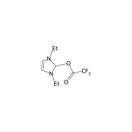 CCN1C=CN(CC)C1OC(=O)C(F)(F)F